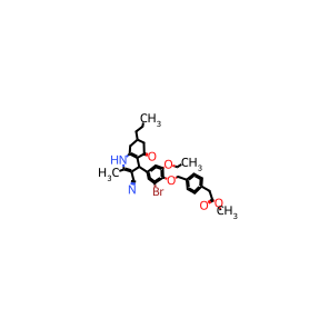 CCCC1CC(=O)C2=C(C1)NC(C)=C(C#N)C2c1cc(Br)c(OCc2ccc(CC(=O)OC)cc2)c(OCC)c1